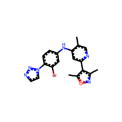 Cc1cnc(-c2c(C)noc2C)cc1Nc1ccc(-n2ccnn2)c(Br)c1